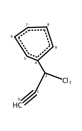 C#CC(Cl)c1ccccc1